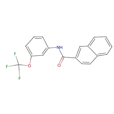 O=C(Nc1cccc(OC(F)(F)F)c1)c1ccc2ccccc2c1